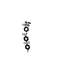 CCS(=O)(=O)N[C@H]1CC[C@H](CNc2ccc(S(=O)(=O)c3ccc(F)cc3)cc2)CC1